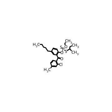 CCCCCc1ccc(OP(=S)(OCC)SC(C)CC)c(C(=O)c2ccc(C)cc2Cl)c1